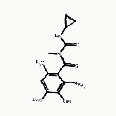 COc1cc(C(F)(F)F)c(C(=O)N(C)C(=O)NC2CC2)c([N+](=O)[O-])c1O